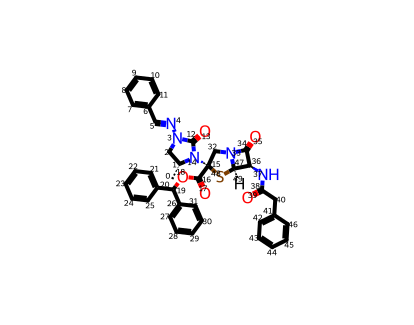 C[C@@H]1CN(/N=C/c2ccccc2)C(=O)N1[C@]1(C(=O)OC(c2ccccc2)c2ccccc2)CN2C(=O)[C@@H](NC(=O)Cc3ccccc3)[C@H]2S1